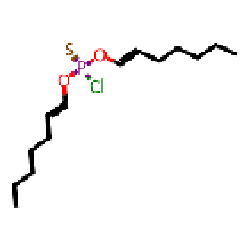 CCCCCC=COP(=S)(Cl)OC=CCCCCC